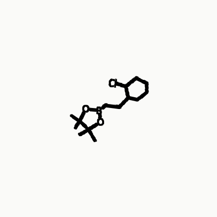 CC1(C)OB(CCC2CCCCC2Cl)OC1(C)C